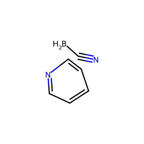 BC#N.c1ccncc1